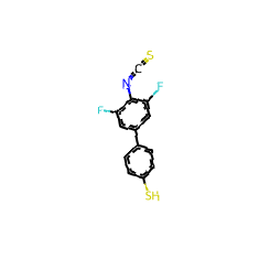 Fc1cc(-c2ccc(S)cc2)cc(F)c1N=C=S